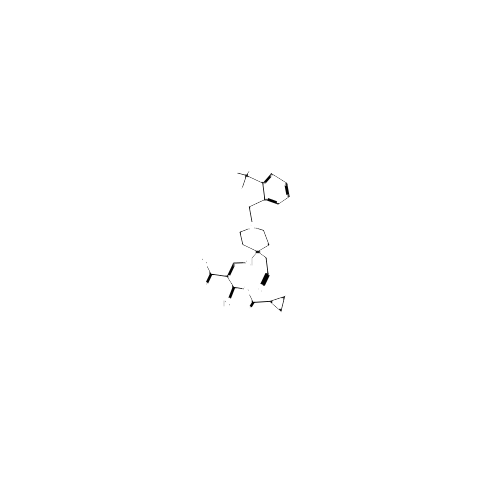 N#CCC1(N/C=C(\C(=N)NC(=O)C2CC2)C(N)=O)CCN(Cc2ccccc2C(F)(F)F)CC1